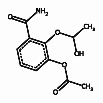 CC(=O)Oc1cccc(C(N)=O)c1OC(C)O